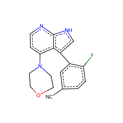 N#Cc1ccc(F)c(-c2c[nH]c3nccc(N4CCOCC4)c23)c1